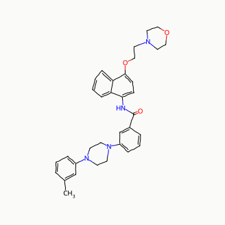 Cc1cccc(N2CCN(c3cccc(C(=O)Nc4ccc(OCCN5CCOCC5)c5ccccc45)c3)CC2)c1